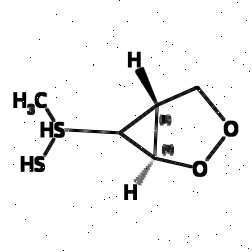 C[SH](S)C1[C@@H]2COO[C@@H]12